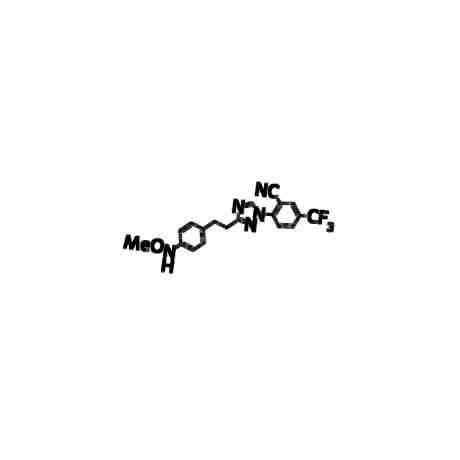 CONc1ccc(CCc2ncn(-c3ccc(C(F)(F)F)cc3C#N)n2)cc1